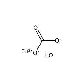 O=C([O-])[O-].[Eu+3].[OH-]